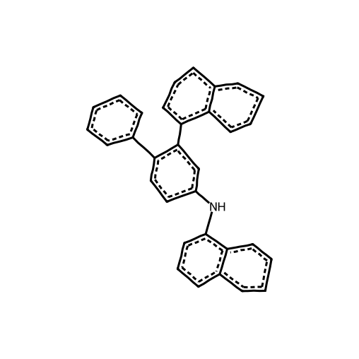 c1ccc(-c2ccc(Nc3cccc4ccccc34)cc2-c2cccc3ccccc23)cc1